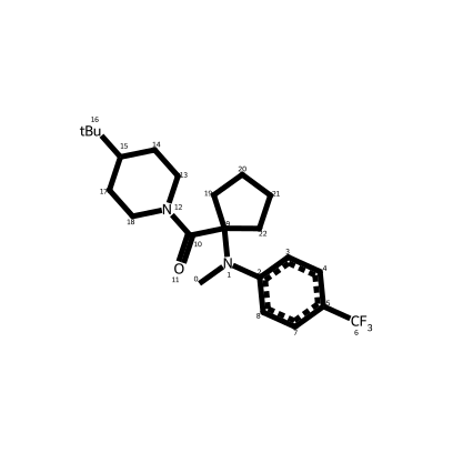 CN(c1ccc(C(F)(F)F)cc1)C1(C(=O)N2CCC(C(C)(C)C)CC2)CCCC1